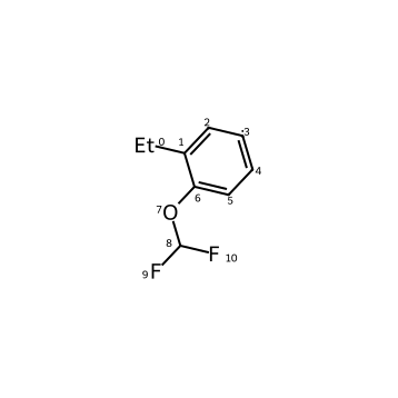 CCc1c[c]ccc1OC(F)F